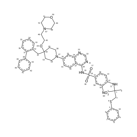 CC(C)(CSc1ccccc1)Nc1ccc(S(=O)(=O)Nc2ncnc3cc(N4CCC(Cc5ccccc5-c5ccccc5)(OCCN5CCOCC5)CC4)ccc23)cc1[N+](=O)[O-]